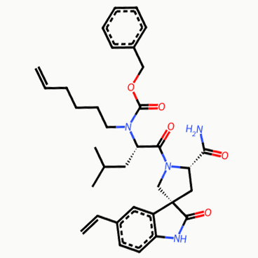 C=CCCCCN(C(=O)OCc1ccccc1)[C@@H](CC(C)C)C(=O)N1C[C@]2(C[C@H]1C(N)=O)C(=O)Nc1ccc(C=C)cc12